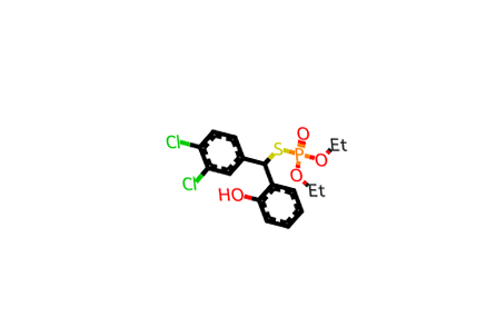 CCOP(=O)(OCC)SC(c1ccc(Cl)c(Cl)c1)c1ccccc1O